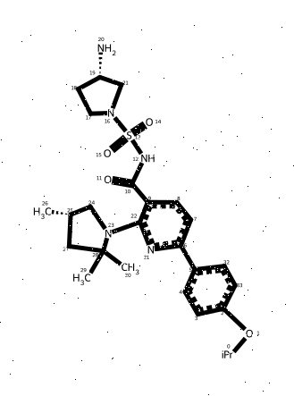 CC(C)Oc1ccc(-c2ccc(C(=O)NS(=O)(=O)N3CC[C@H](N)C3)c(N3C[C@@H](C)CC3(C)C)n2)cc1